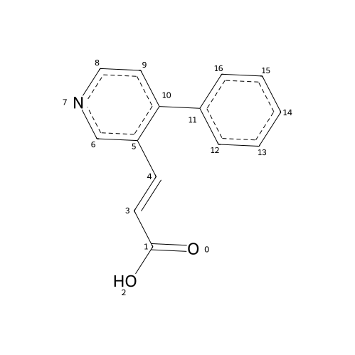 O=C(O)C=Cc1cnccc1-c1ccccc1